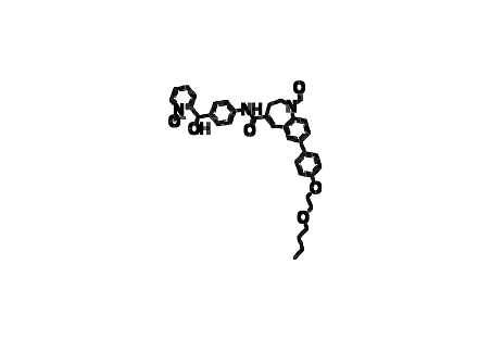 CCCCOCCOc1ccc(-c2ccc3c(c2)C=C(C(=O)Nc2ccc([C@@H](O)c4cccc[n+]4[O-])cc2)CCN3C=O)cc1